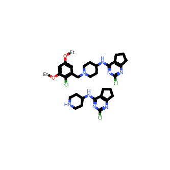 CCOc1cc(CN2CCC(Nc3nc(Cl)nc4c3CCC4)CC2)c(Cl)c(OCC)c1.Clc1nc2c(c(NC3CCNCC3)n1)CCC2